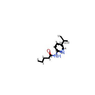 CCCCC(=O)Nc1ccc(C(C)C)cn1